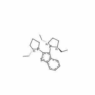 CC[C@@H]1CCCP1c1sc2ccccc2c1P1[C@H](CC)CC[C@H]1CC